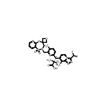 Cc1ccc([C@H](c2ccn3c(C(F)F)nnc3c2C)C(C)(C)C(=O)O)nc1CN1CC2(COC2)Oc2ncccc2S1(=O)=O